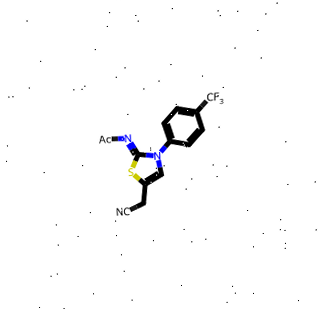 CC(=O)N=c1sc(CC#N)cn1-c1ccc(C(F)(F)F)cc1